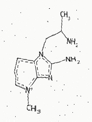 CC(N)Cn1c(N)nc2c1ccc[n+]2C